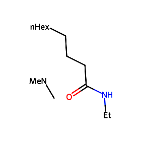 CCCCCCCCCC(=O)NCC.CNC